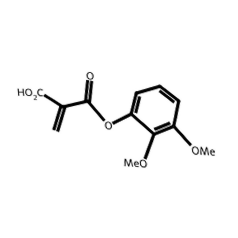 C=C(C(=O)O)C(=O)Oc1cccc(OC)c1OC